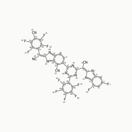 N#C/C(=C1\N=c2cc(F)cc(F)c2=N1)c1nc(-c2ccc3c(c2C#N)=N/C(=C(\C#N)c2c(F)c(F)c(C#N)c(F)c2F)N=3)nc(-c2c(F)c(F)c(F)c(F)c2F)n1